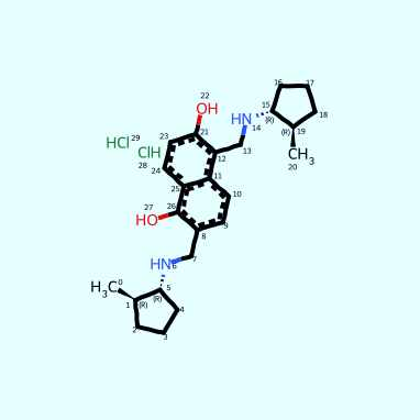 C[C@@H]1CCC[C@H]1NCc1ccc2c(CN[C@@H]3CCC[C@H]3C)c(O)ccc2c1O.Cl.Cl